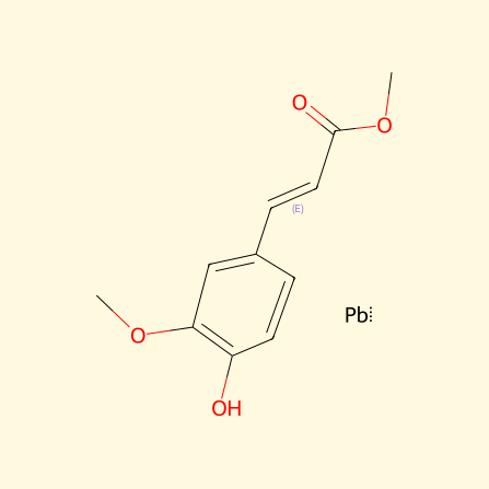 COC(=O)/C=C/c1ccc(O)c(OC)c1.[Pb]